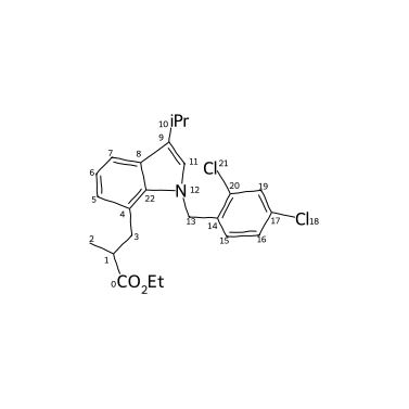 CCOC(=O)C(C)Cc1cccc2c(C(C)C)cn(Cc3ccc(Cl)cc3Cl)c12